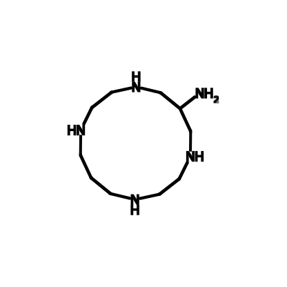 NC1CNCCNCCCNCCNC1